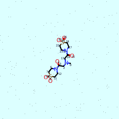 CN(CC(=O)N1CCS(=O)(=O)CC1)CC(=O)N1CCS(=O)(=O)CC1